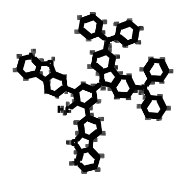 Cc1c(-c2ccc3c(c2)oc2ncccc23)cc(-n2c3ccc(N(c4ccccc4)c4ccccc4)cc3c3cc(N(c4ccccc4)c4ccccc4)ccc32)cc1-c1ccc2c(c1)oc1ncccc12